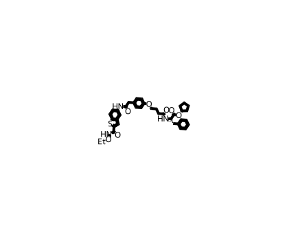 CCONC(=O)c1cc2cc(NC(=O)Cc3ccc(OCCCC(=O)N[C@@H](Cc4ccccc4)C(=O)OC4CCCC4)cc3)ccc2s1